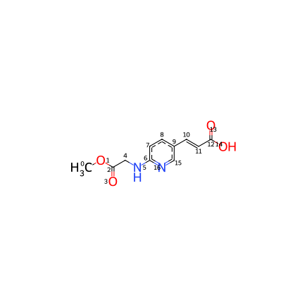 COC(=O)CNc1ccc(/C=C/C(=O)O)cn1